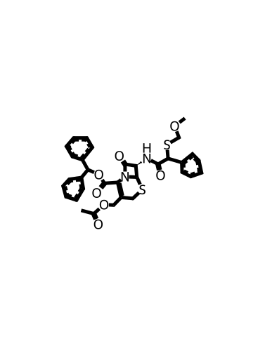 COCSC(C(=O)N[C@H]1C(=O)N2C(C(=O)OC(c3ccccc3)c3ccccc3)=C(COC(C)=O)CSC12)c1ccccc1